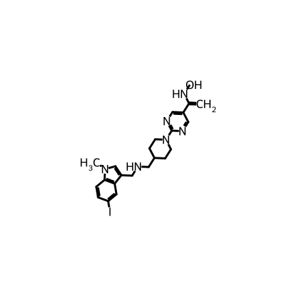 C=C(NO)c1cnc(N2CCC(CNCc3cn(C)c4ccc(I)cc34)CC2)nc1